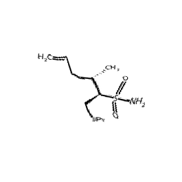 C=CC[C@H](C)[C@H](CC(C)C)S(N)(=O)=O